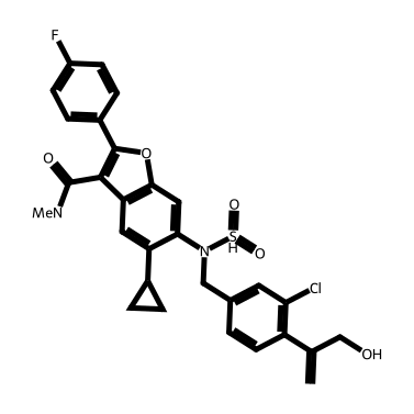 C=C(CO)c1ccc(CN(c2cc3oc(-c4ccc(F)cc4)c(C(=O)NC)c3cc2C2CC2)[SH](=O)=O)cc1Cl